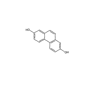 Oc1ccc2c(ccc3cc(O)ccc32)c1